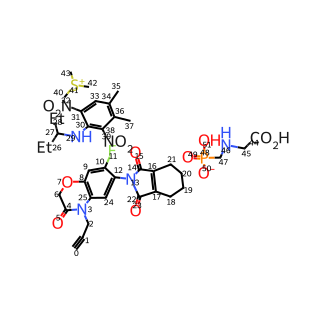 C#CCN1C(=O)COc2cc(F)c(N3C(=O)C4=C(CCCC4)C3=O)cc21.CCC(CC)Nc1c([N+](=O)[O-])cc(C)c(C)c1[N+](=O)[O-].C[S+](C)C.O=C(O)CNCP(=O)([O-])O